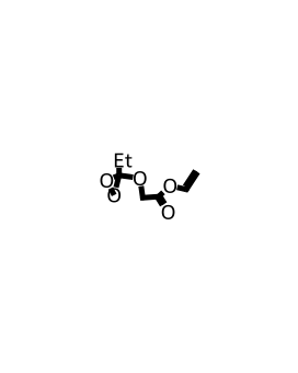 C=COC(=O)COC1(CC)OO1